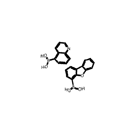 OB(O)c1cccc2c1oc1ccccc12.OB(O)c1cccc2ncccc12